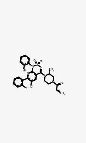 C=CC(=O)N1CCN(C2=NS(=O)(=O)N(c3ccccc3C(C)C)c3nc(-c4ccccc4F)c(Cl)cc32)[C@@H](C)C1